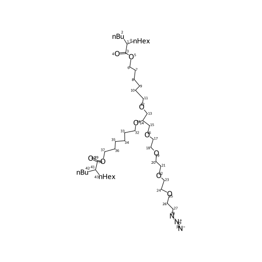 CCCCCCC(CCCC)C(=O)OCCCCCCOCC(COCCOCCOCCOCCN=[N+]=[N-])OCCCCCCOC(=O)C(CCCC)CCCCCC